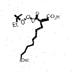 CCCCCCCCCCCCCCCCCCC(=CC(=O)O)C(=O)OOOC(C)(C)CC